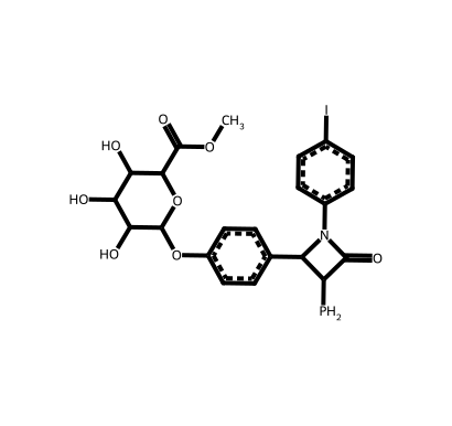 COC(=O)C1OC(Oc2ccc(C3C(P)C(=O)N3c3ccc(I)cc3)cc2)C(O)C(O)C1O